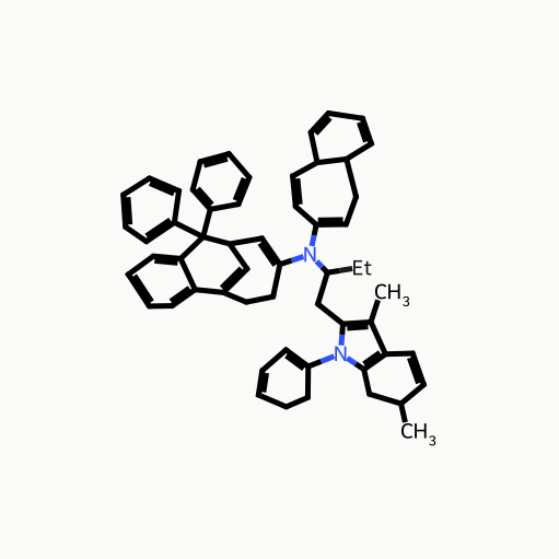 CCC(Cc1c(C)c2c(n1C1=CC=CCC1)CC(C)C=C2)N(C1=CCC2C=CC=CC2C=C1)C1=CC2C=C(CC1)c1ccccc1C2(c1ccccc1)c1ccccc1